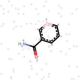 NC(=O)c1cbccc1